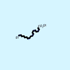 CC/C=C\CCCC/C=C\C/C=C\C/C=C\C/C=C\CC(=O)OCC